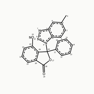 Cc1ccc2c(c1)nnn2C1(c2ccccc2)OC(=O)c2cccc([N+](=O)[O-])c21